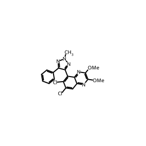 COc1nc2cc(Cl)c(Cl)c(-c3nn(C)nc3-c3ccccc3)c2nc1OC